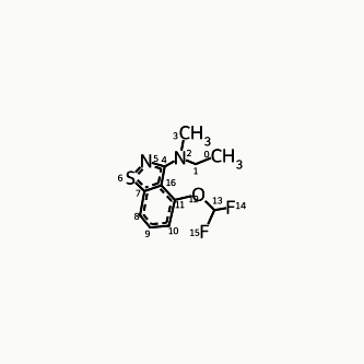 CCN(C)c1nsc2cccc(OC(F)F)c12